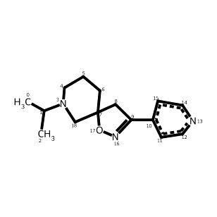 CC(C)N1CCCC2(CC(c3ccncc3)=NO2)C1